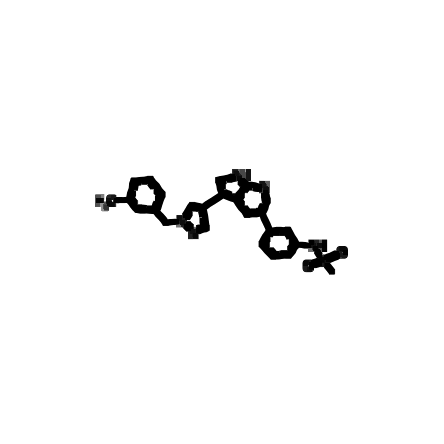 CS(=O)(=O)Nc1cccc(-c2cnc3[nH]cc(-c4cnn(Cc5cccc(C(F)(F)F)c5)c4)c3c2)c1